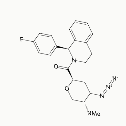 CN[C@@H]1CO[C@@H](C(=O)N2CCc3ccccc3[C@@H]2c2ccc(F)cc2)CC1N=[N+]=[N-]